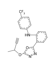 C#CC(C)Oc1nnc(-c2ccccc2Nc2ccc(C(F)(F)F)cc2)o1